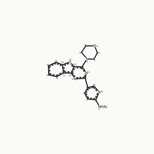 CC(=O)Nc1ccc(-c2nc(N3CCOCC3)c3oc4ccccc4c3n2)cn1